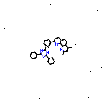 Cc1cc(C)c2ccc3ccc(-c4cccc(-c5nc(-c6ccccc6)nc(-c6ccccc6)n5)c4)nc3c2n1